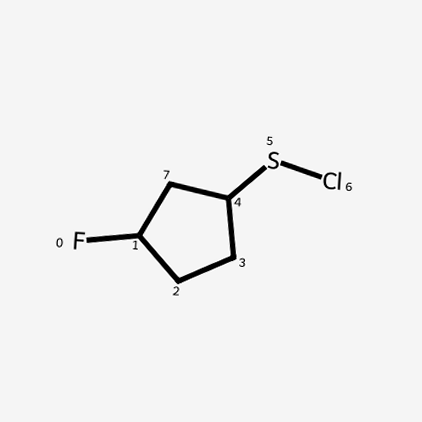 FC1CCC(SCl)C1